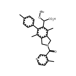 Cc1ccc(-c2c(C)c3c(c(C)c2C(OC(C)(C)C)C(=O)O)CN(C(=O)c2cnccc2C)C3)cc1